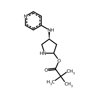 CC(C)(C)C(=O)OC1C[C@H](Nc2ccncc2)CN1